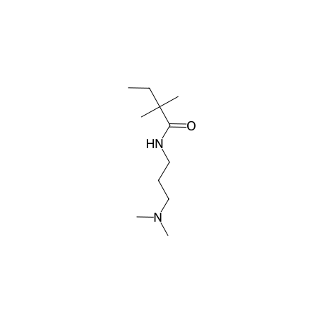 CCC(C)(C)C(=O)NCCCN(C)C